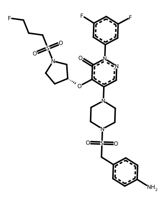 Nc1ccc(CS(=O)(=O)N2CCN(c3cnn(-c4cc(F)cc(F)c4)c(=O)c3O[C@@H]3CCN(S(=O)(=O)CCCF)C3)CC2)cc1